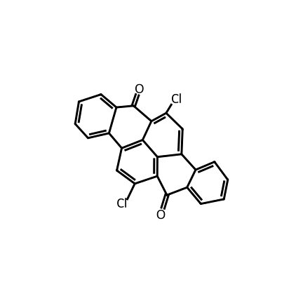 O=C1c2ccccc2-c2cc(Cl)c3c4c(cc(Cl)c1c24)-c1ccccc1C3=O